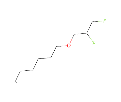 [CH2]CCCCCOCC(F)CF